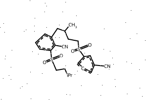 CC(C)CCS(=O)(=O)c1cccc(CC(C)CCS(=O)(=O)c2cccc(C#N)c2)c1C#N